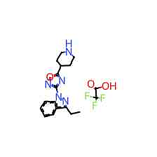 CCc1nn(-c2noc(C3CCNCC3)n2)c2ccccc12.O=C(O)C(F)(F)F